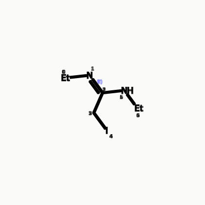 CC/N=C(\CI)NCC